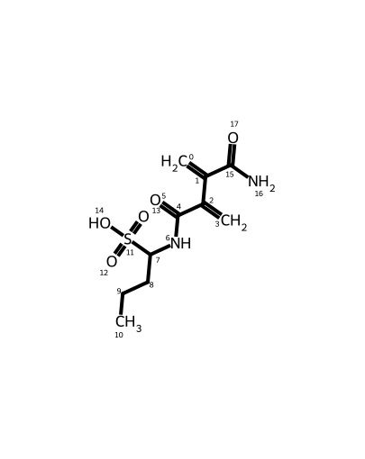 C=C(C(=C)C(=O)NC(CCC)S(=O)(=O)O)C(N)=O